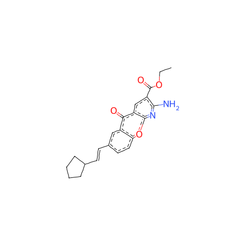 CCOC(=O)c1cc2c(=O)c3cc(/C=C/C4CCCC4)ccc3oc2nc1N